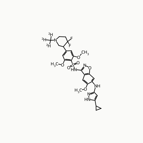 [2H]C([2H])([2H])N1CCC(F)(F)C(c2cc(OC)c(S(=O)(=O)Nc3noc4cc(Nc5cc(C6CC6)[nH]n5)c(OC)cc34)c(OC)c2)C1